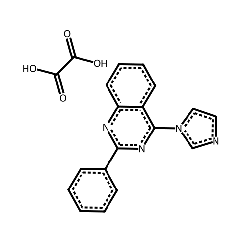 O=C(O)C(=O)O.c1ccc(-c2nc(-n3ccnc3)c3ccccc3n2)cc1